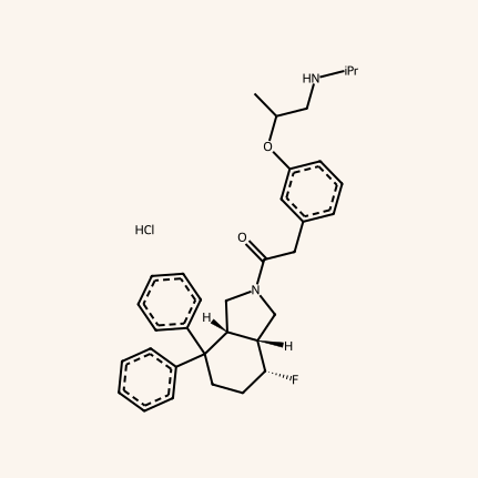 CC(C)NCC(C)Oc1cccc(CC(=O)N2C[C@@H]3[C@H](F)CCC(c4ccccc4)(c4ccccc4)[C@@H]3C2)c1.Cl